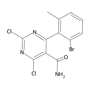 Cc1cccc(Br)c1-c1nc(Cl)nc(Cl)c1C(N)=O